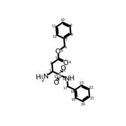 NC(CC(=O)OCc1ccccc1)S(=O)(=O)NCc1ccccc1